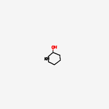 OC1CCCCC1.[KH]